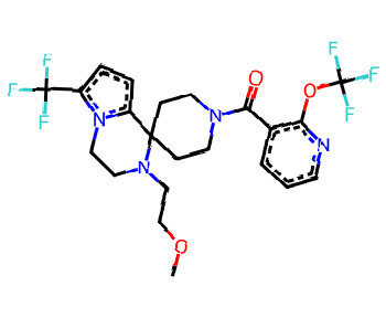 COCCN1CCn2c(C(F)(F)F)ccc2C12CCN(C(=O)c1cccnc1OC(F)(F)F)CC2